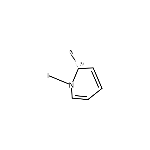 C[C@@H]1C=CC=CN1I